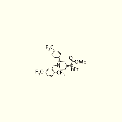 CCC[C@H](C(=O)OC)[C@H]1CCN(Cc2cc(C(F)(F)F)ccc2C(F)(F)F)[C@@H](c2ccc(C(F)(F)F)cc2)C1